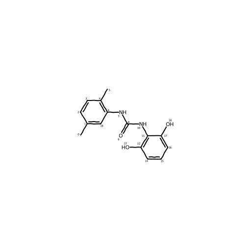 Cc1ccc(C)c(NC(=O)Nc2c(O)cccc2O)c1